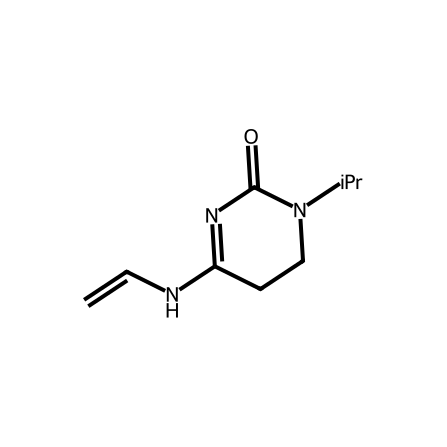 C=CNC1=NC(=O)N(C(C)C)CC1